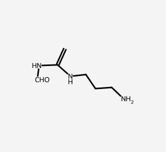 C=C(NC=O)NCCCN